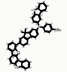 CC(C)(C)c1ccc(N(c2ccc3c(c2)C(C)(C)c2cc(-c4cccc5c4oc4c5ccc5sc6ccccc6c54)ccc2-3)c2ccc3sc4ccccc4c3c2)cc1